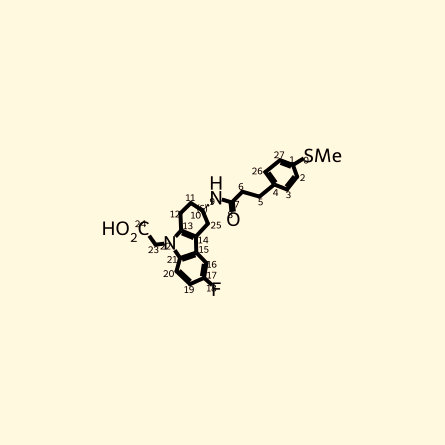 CSc1ccc(CCC(=O)N[C@H]2CCc3c(c4cc(F)ccc4n3CC(=O)O)C2)cc1